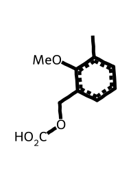 COc1c(C)cccc1COC(=O)O